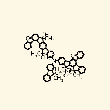 CC1(C)c2ccccc2-c2ccc(N(c3ccc4c(c3)C(C)(C)c3cc5c(cc3-4)C(C)(C)c3ccc4oc6ccccc6c4c3-5)c3ccc4c(c3)C(C)(C)c3c5c(c6c(oc7ccccc76)c3-4)-c3ccccc3C5(C)C)cc21